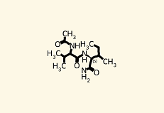 CCC(C)[C@H](NC(=O)C(NC(C)=O)C(C)C)C(N)=O